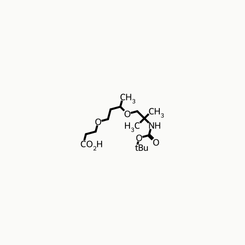 CC(CCOCCC(=O)O)OCC(C)(C)NC(=O)OC(C)(C)C